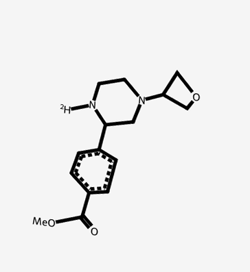 [2H]N1CCN(C2COC2)CC1c1ccc(C(=O)OC)cc1